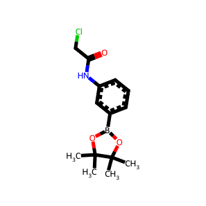 CC1(C)OB(c2cccc(NC(=O)CCl)c2)OC1(C)C